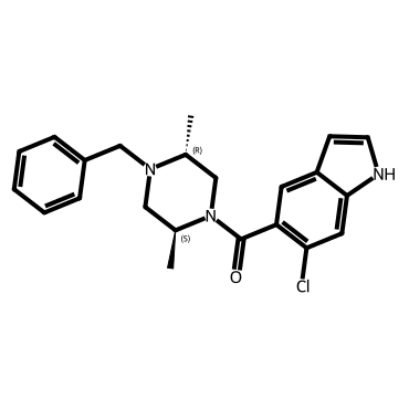 C[C@@H]1CN(C(=O)c2cc3cc[nH]c3cc2Cl)[C@@H](C)CN1Cc1ccccc1